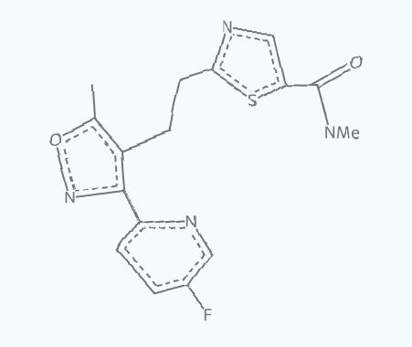 CNC(=O)c1cnc(CCc2c(-c3ccc(F)cn3)noc2C)s1